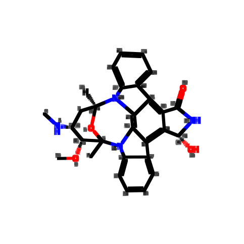 CN[C@@H]1C[C@@H]2OC(C)([C@@H]1OC)n1c3ccccc3c3c4c(c5c6ccccc6n2c5c31)C(=O)N[C@@H]4O